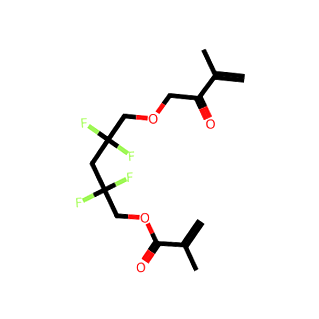 C=C(C)C(=O)COCC(F)(F)CC(F)(F)COC(=O)C(=C)C